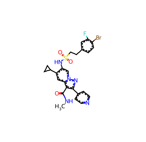 CNC(=O)c1c(-c2ccncc2)nn2cc(NS(=O)(=O)CCc3ccc(Br)c(F)c3)c(C3CC3)cc12